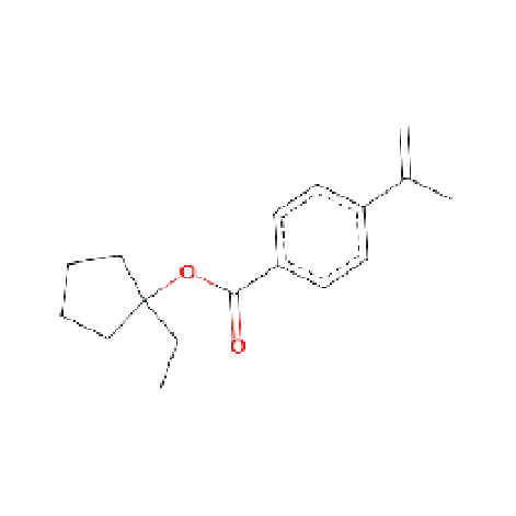 C=C(C)c1ccc(C(=O)OC2(CC)CCCC2)cc1